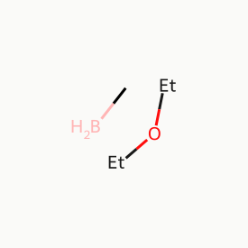 BC.CCOCC